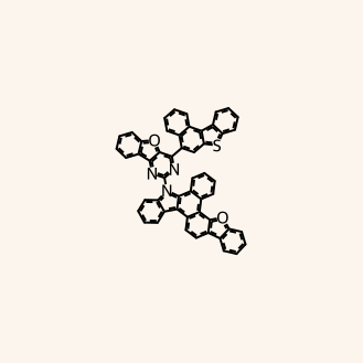 c1ccc2c(c1)oc1c2ccc2c1c1ccccc1c1c2c2ccccc2n1-c1nc(-c2cc3sc4ccccc4c3c3ccccc23)c2oc3ccccc3c2n1